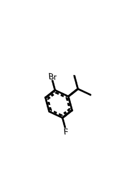 CC(C)c1cc(F)ccc1Br